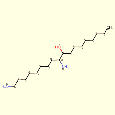 CCCCCCCCC(O)C(N)CCCCCCCCN